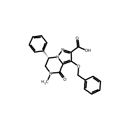 CN1C[C@H](c2ccccc2)n2nc(C(=O)O)c(OCc3ccccc3)c2C1=O